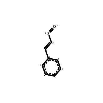 O=[S+]C=Cc1ccccc1